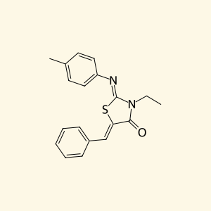 CCN1C(=O)/C(=C/c2ccccc2)S/C1=N\c1ccc(C)cc1